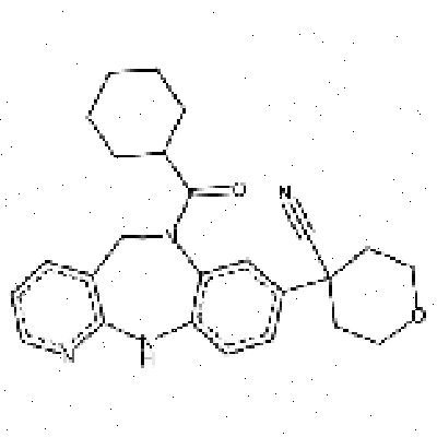 N#CC1(c2ccc3c(c2)N(C(=O)C2CCCCC2)Cc2cccnc2N3)CCOCC1